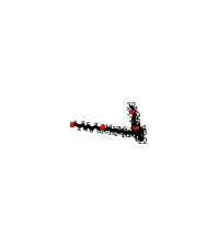 CCCCCCCCCCCCCCCCCCCC1N(CC)C=CN1CCCCCCC